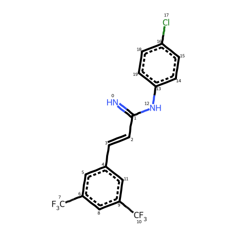 N=C(/C=C/c1cc(C(F)(F)F)cc(C(F)(F)F)c1)Nc1ccc(Cl)cc1